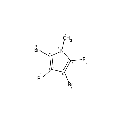 Cn1c(Br)c(Br)c(Br)c1Br